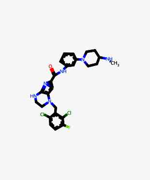 CNC1CCN(c2cccc(NC(=O)c3c4c5c(n3-4)NCCN5Cc3c(Cl)ccc(F)c3Cl)c2)CC1